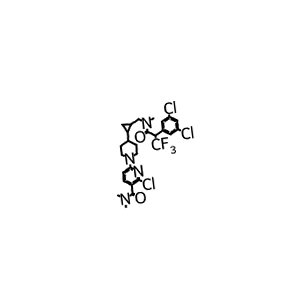 CN(C)C(=O)c1ccc(N2CCC(C3CC3CN(C)C(=O)C(c3cc(Cl)cc(Cl)c3)C(F)(F)F)CC2)nc1Cl